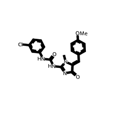 COc1ccc(/C=C2/C(=O)N=C(NC(=O)Nc3cccc(Cl)c3)N2C)cc1